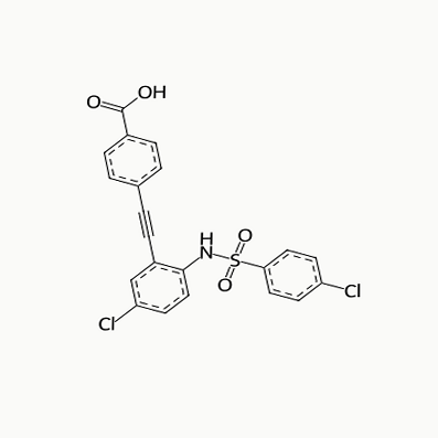 O=C(O)c1ccc(C#Cc2cc(Cl)ccc2NS(=O)(=O)c2ccc(Cl)cc2)cc1